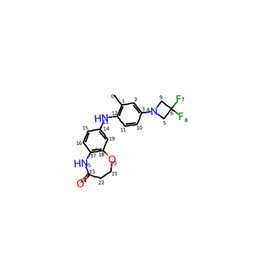 Cc1cc(N2CC(F)(F)C2)ccc1Nc1ccc2c(c1)OCCC(=O)N2